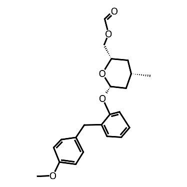 COc1ccc(Cc2ccccc2O[C@H]2C[C@@H](C)C[C@@H](COC=O)O2)cc1